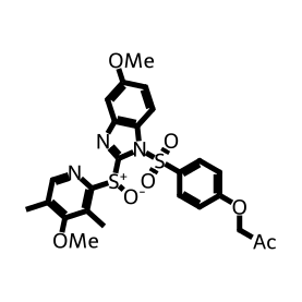 COc1ccc2c(c1)nc([S+]([O-])c1ncc(C)c(OC)c1C)n2S(=O)(=O)c1ccc(OCC(C)=O)cc1